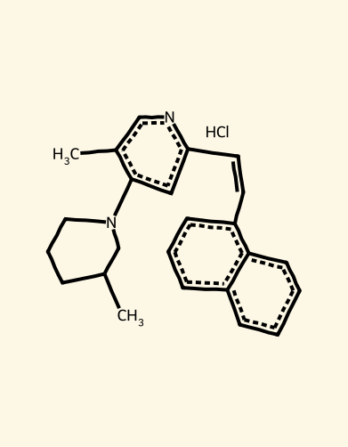 Cc1cnc(/C=C\c2cccc3ccccc23)cc1N1CCCC(C)C1.Cl